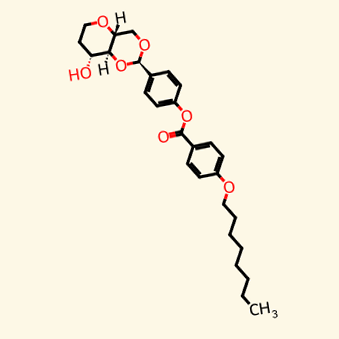 CCCCCCCCOc1ccc(C(=O)Oc2ccc([C@@H]3OC[C@H]4OCC[C@@H](O)[C@@H]4O3)cc2)cc1